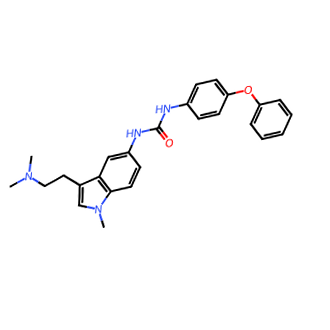 CN(C)CCc1cn(C)c2ccc(NC(=O)Nc3ccc(Oc4ccccc4)cc3)cc12